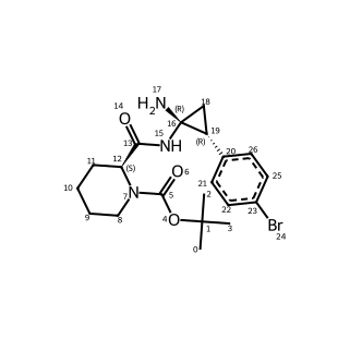 CC(C)(C)OC(=O)N1CCCC[C@H]1C(=O)N[C@]1(N)C[C@@H]1c1ccc(Br)cc1